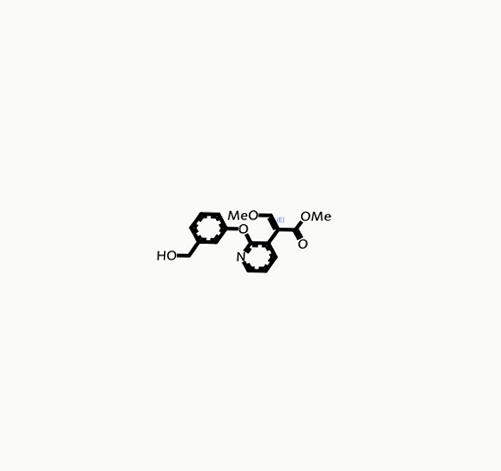 CO/C=C(/C(=O)OC)c1cccnc1Oc1cccc(CO)c1